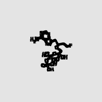 Nc1ncnn2c(C[C@@H](CCF)OCP(=O)(O)OP(=O)(O)OP(=O)(O)O)cnc12